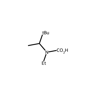 CCN(C(=O)O)C(C)C(C)(C)C